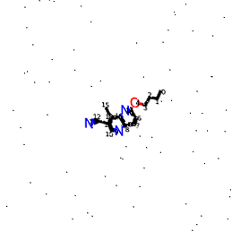 CCCCOc1ccc2ncc(C#N)c(C)c2n1